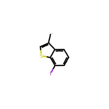 [CH2]c1csc2c(I)cccc12